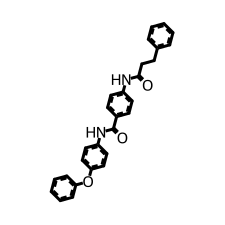 O=C(CCc1ccccc1)Nc1ccc(C(=O)Nc2ccc(Oc3ccccc3)cc2)cc1